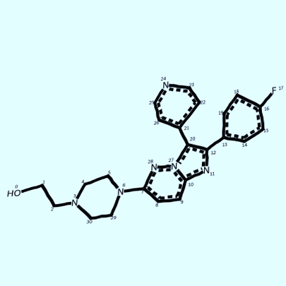 OCCN1CCN(c2ccc3nc(-c4ccc(F)cc4)c(-c4ccncc4)n3n2)CC1